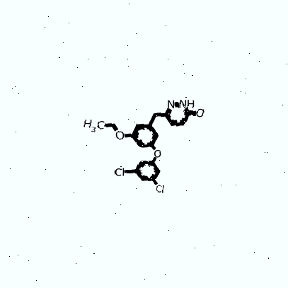 CCOc1cc(Cc2ccc(=O)[nH]n2)cc(Oc2cc(Cl)cc(Cl)c2)c1